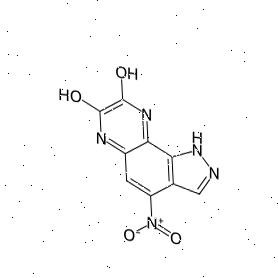 O=[N+]([O-])c1cc2nc(O)c(O)nc2c2[nH]ncc12